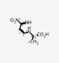 C[C@H](N/C=C\C(=N)[N+](=O)[O-])C(=O)O